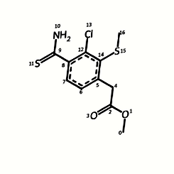 COC(=O)Cc1ccc(C(N)=S)c(Cl)c1SC